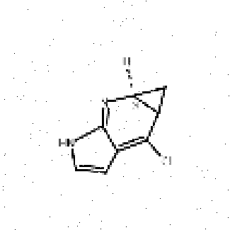 ClC1=c2cc[nH]c2=N[C@H]2CC12